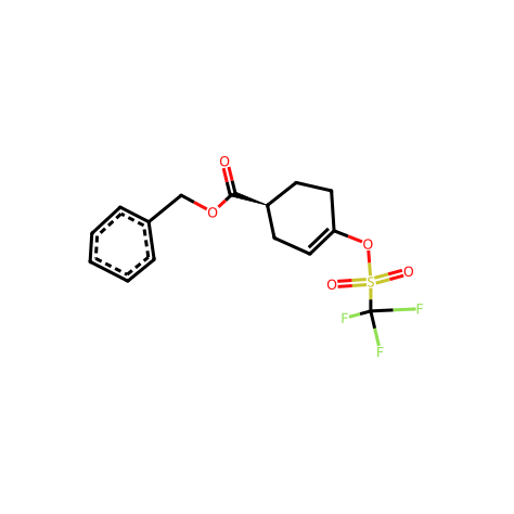 O=C(OCc1ccccc1)[C@@H]1CC=C(OS(=O)(=O)C(F)(F)F)CC1